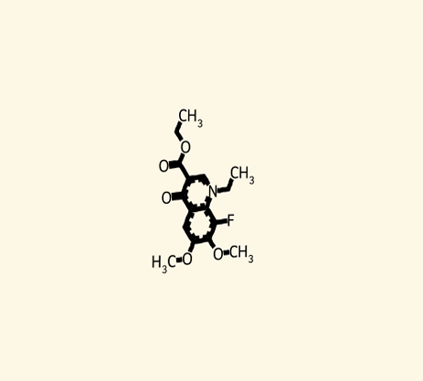 CCOC(=O)c1cn(CC)c2c(F)c(OC)c(OC)cc2c1=O